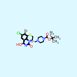 CC(C)(C)OC(=O)N1CCN(C[C@H]2CSc3c(Br)c(Cl)cc4c(O)nc(=O)n2c34)CC1